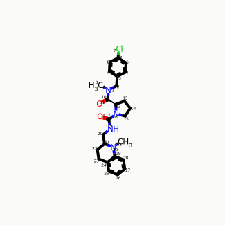 CN(Cc1ccc(Cl)cc1)C(=O)[C@H]1CCCN1C(=O)NCC1CCc2ccccc2N1C